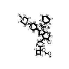 COCOC1(c2ncc(-c3c(Cl)cnc4c3cc(-c3ccc(N5CCN(C)CC5)nc3)n4S(=O)(=O)c3ccccc3)s2)CCC1